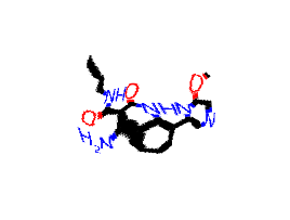 CCCNC(=O)c1c(N)c2cccc(-c3cncc(OC)n3)c2[nH]c1=O